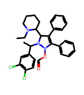 CCN1CCCCC1C1C(c2ccccc2)=C(c2ccccc2)N(OC=O)N1C(C)c1ccc(Cl)c(Cl)c1